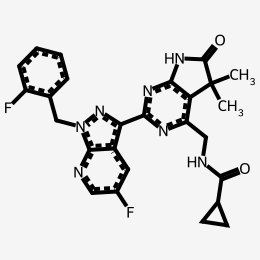 CC1(C)C(=O)Nc2nc(-c3nn(Cc4ccccc4F)c4ncc(F)cc34)nc(CNC(=O)C3CC3)c21